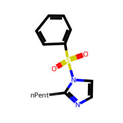 CCCCCc1nccn1S(=O)(=O)c1ccccc1